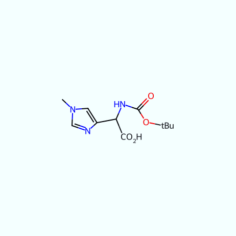 Cn1cnc(C(NC(=O)OC(C)(C)C)C(=O)O)c1